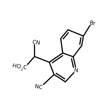 N#Cc1cnc2cc(Br)ccc2c1C(C#N)C(=O)O